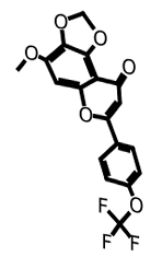 COc1cc2oc(-c3ccc(OC(F)(F)F)cc3)cc(=O)c2c2c1OCO2